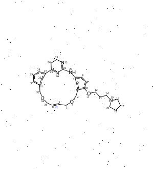 C1=C/COCc2cc(ccc2OCCCN2CCCC2)NC2=NCCC(=N2)c2cccc(c2)COC/1